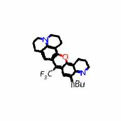 CCCCc1cc2c(c3c1=NCCC3)Oc1c(cc3c4c1CCCN4CCC3)C=2C(F)(F)F